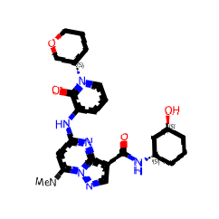 CNc1cc(Nc2cccn([C@H]3CCCOC3)c2=O)nc2c(C(=O)N[C@H]3CCC[C@H](O)C3)cnn12